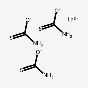 NC([O-])=S.NC([O-])=S.NC([O-])=S.[La+3]